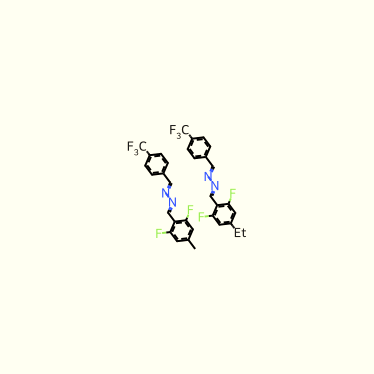 CCc1cc(F)c(C=NN=Cc2ccc(C(F)(F)F)cc2)c(F)c1.Cc1cc(F)c(C=NN=Cc2ccc(C(F)(F)F)cc2)c(F)c1